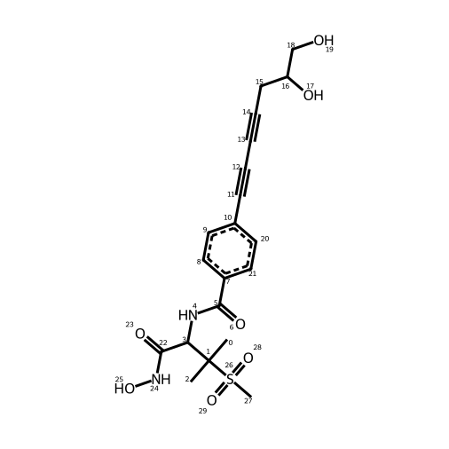 CC(C)(C(NC(=O)c1ccc(C#CC#CCC(O)CO)cc1)C(=O)NO)S(C)(=O)=O